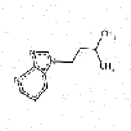 CC(C)CCn1cnc2ncccc21